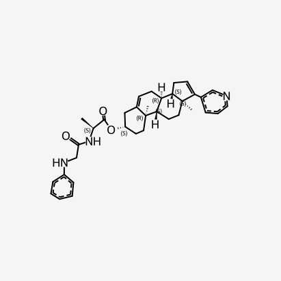 C[C@H](NC(=O)CNc1ccccc1)C(=O)O[C@H]1CC[C@@]2(C)C(=CC[C@@H]3[C@@H]2CC[C@]2(C)C(c4cccnc4)=CC[C@@H]32)C1